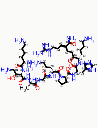 C[C@H](NC(=O)[C@@H](NC(=O)[C@@H](N)CCCCN)[C@@H](O)CN)C(=O)NCC(=O)N[C@H](CCCN)C(=O)N1CCC[C@H]1C(=O)N[C@@H](Cc1cnc[nH]1)C(=O)N[C@@H](CCCCN)C(=O)CC/C(=C\CCNC(=N)N)C(N)=O